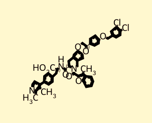 Cc1nccc(-c2ccc(C[C@H](NC(=O)[C@@H]3Cc4cc5c(cc4CN3C(=O)c3oc4ccccc4c3C)O[C@@H](c3ccc(OCc4ccc(Cl)c(Cl)c4)cc3)CO5)C(=O)O)cc2)c1C